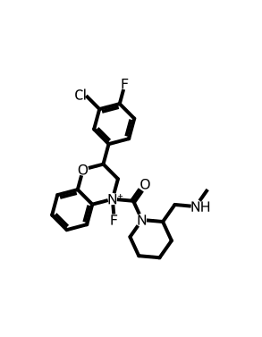 CNCC1CCCCN1C(=O)[N+]1(F)CC(c2ccc(F)c(Cl)c2)Oc2ccccc21